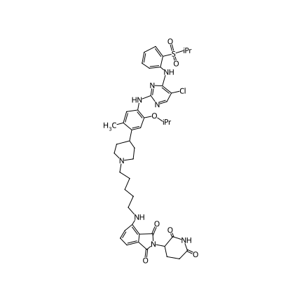 Cc1cc(Nc2ncc(Cl)c(Nc3ccccc3S(=O)(=O)C(C)C)n2)c(OC(C)C)cc1C1CCN(CCCCCNc2cccc3c2C(=O)N(C2CCC(=O)NC2=O)C3=O)CC1